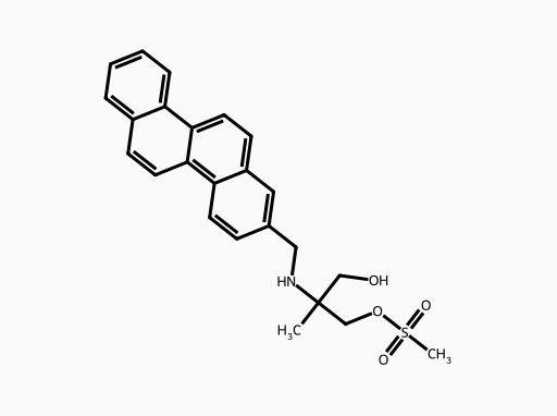 CC(CO)(COS(C)(=O)=O)NCc1ccc2c(ccc3c4ccccc4ccc23)c1